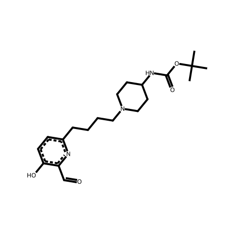 CC(C)(C)OC(=O)NC1CCN(CCCCc2ccc(O)c(C=O)n2)CC1